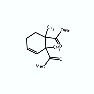 COC(=O)C1(C)C=CCCC1(C)C(=O)OC